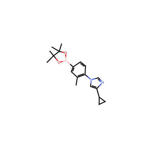 Cc1cc(B2OC(C)(C)C(C)(C)O2)ccc1-n1cnc(C2CC2)c1